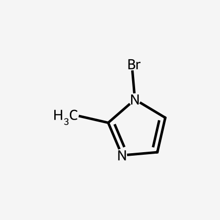 Cc1nccn1Br